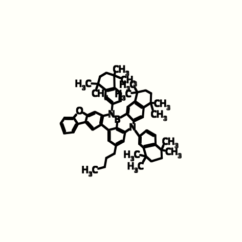 CCCCc1cc2c3c(c1)N(c1ccc4c(c1)C(C)(C)CCC4(C)C)c1cc4c(cc1B3N(c1ccc3c(c1)C(C)(C)CCC3(C)C)c1cc3oc5ccccc5c3cc1-2)C(C)(C)CCC4(C)C